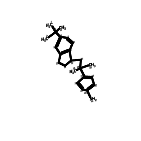 CC(C)(C)c1ccc2c(c1)CCC2CC(C)(C)c1ccc(N)cc1